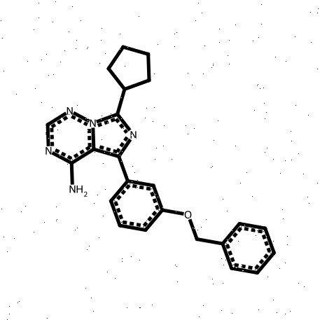 Nc1ncnn2c(C3CCCC3)nc(-c3cccc(OCc4ccccc4)c3)c12